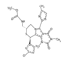 COC(=O)NC[C@@H]1Cn2c(-c3nc(C)cs3)c3c(=O)n(C)c(=O)n(C)c3c2[C@@H](c2ccc(Cl)o2)S1